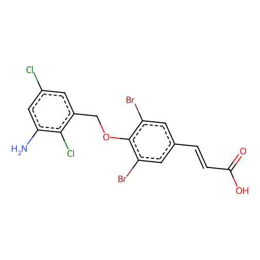 Nc1cc(Cl)cc(COc2c(Br)cc(C=CC(=O)O)cc2Br)c1Cl